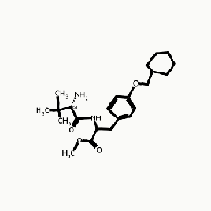 COC(=O)C(Cc1ccc(OCC2CCCCC2)cc1)NC(=O)[C@@H](N)C(C)(C)C